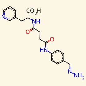 NN=Cc1ccc(NC(=O)CCC(=O)NC(Cc2cccnc2)C(=O)O)cc1